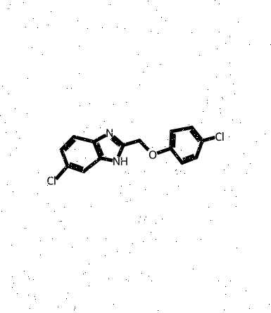 Clc1ccc(OCc2nc3ccc(Cl)cc3[nH]2)cc1